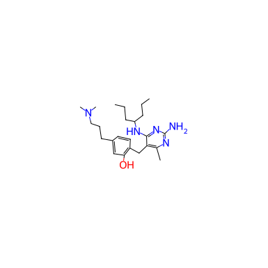 CCCC(CCC)Nc1nc(N)nc(C)c1Cc1ccc(CCCN(C)C)cc1O